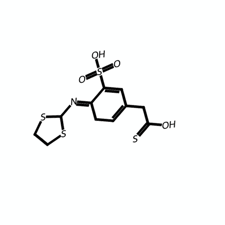 O=S(=O)(O)C1=CC(CC(O)=S)=CCC1=NC1SCCS1